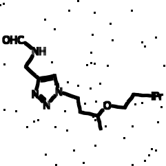 CC(C)CCOC(C)CCn1cc(CNC=O)nn1